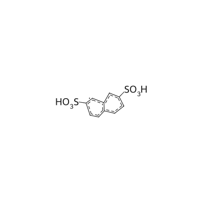 O=S(=O)(O)c1[c]c2cc(S(=O)(=O)O)ccc2cc1